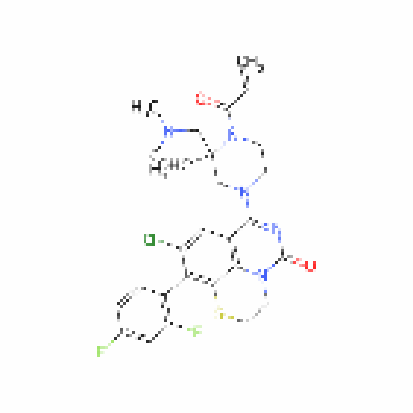 C=CC(=O)N1CCN(c2nc(=O)n3c4c(c(-c5ccc(F)cc5F)c(Cl)cc24)SCC3)CC1(C=O)CN(C)C